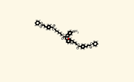 Nc1ccc(CC(Cc2ccc(N)cc2)(C(=O)OCCCCCCOC(=O)c2ccc(C=CC(=O)OC3CCCCC3)cc2)C(=O)OCCCCCCOC(=O)c2ccc(C=CC(=O)OC3CCCCC3)cc2)cc1